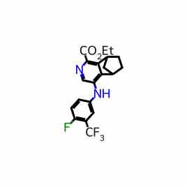 CCOC(=O)c1ncc(Nc2ccc(F)c(C(F)(F)F)c2)c2c1C1CCC2C1